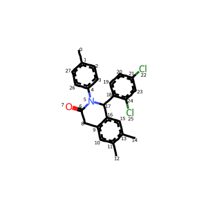 Cc1ccc(N2C(=O)Cc3cc(C)c(C)cc3C2c2ccc(Cl)cc2Cl)cc1